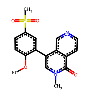 CCOc1ccc(S(C)(=O)=O)cc1-c1cn(C)c(=O)c2ccncc12